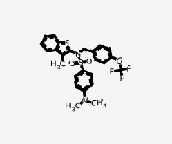 Cc1c(N(Cc2ccc(OC(F)(F)F)cc2)S(=O)(=O)c2ccc(N(C)C)cc2)sc2ccccc12